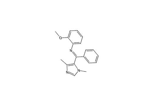 COc1ccccc1N=C(c1ccccc1)c1c(C)ncn1C